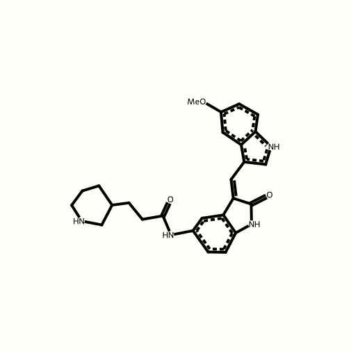 COc1ccc2[nH]cc(C=C3C(=O)Nc4ccc(NC(=O)CCC5CCCNC5)cc43)c2c1